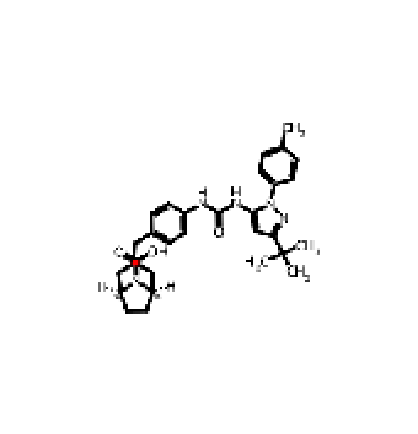 Cc1ccc(-n2nc(C(C)(C)C)cc2NC(=O)Nc2ccc(C[C@H]3C[C@H]4CC[C@@H](C3)N4C(=O)O)cc2)cc1